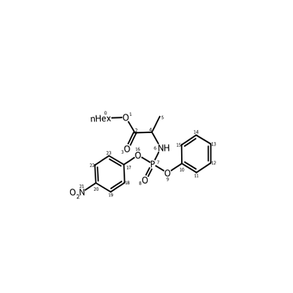 CCCCCCOC(=O)C(C)NP(=O)(Oc1ccccc1)Oc1ccc([N+](=O)[O-])cc1